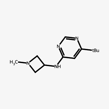 CN1CC(Nc2cc(C(C)(C)C)ncn2)C1